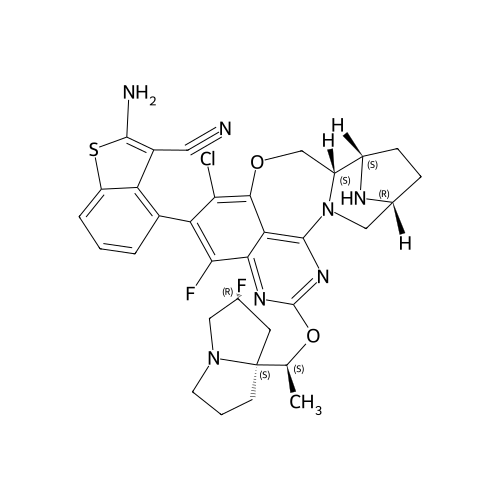 C[C@H](Oc1nc2c3c(c(Cl)c(-c4cccc5sc(N)c(C#N)c45)c(F)c3n1)OC[C@@H]1[C@@H]3CC[C@H](CN21)N3)[C@@]12CCCN1C[C@H](F)C2